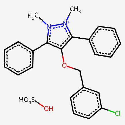 Cn1c(-c2ccccc2)c(OCc2cccc(Cl)c2)c(-c2ccccc2)[n+]1C.O=S(=O)(O)O